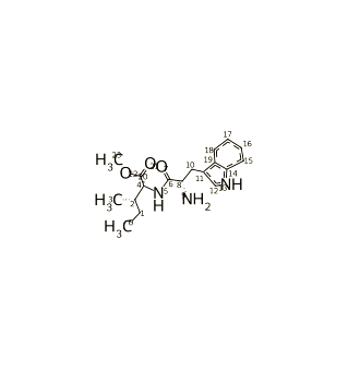 CC[C@H](C)[C](NC(=O)[C@@H](N)Cc1c[nH]c2ccccc12)C(=O)OC